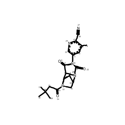 Cc1cc(N2C(=O)C3C4CC(CN4C(=O)CC(C)(C)C)N3C2=O)cnc1C#N